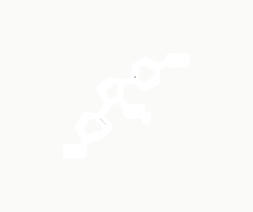 CC1C(c2ccc(O)cc2)C=CC1c1ccc(O)cc1